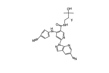 CC(C)(O)[C@H](F)CNC(=O)c1cnc(-n2ncc3cc(C#N)cnc32)cc1Nc1ccc(C#N)cc1